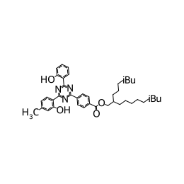 CCC(C)CCCCCC(CCCC(C)CC)COC(=O)c1ccc(-c2nc(-c3ccccc3O)nc(-c3ccc(C)cc3O)n2)cc1